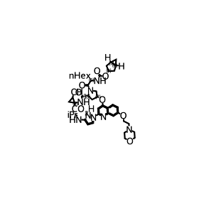 CCCCCC[C@H](NC(=O)O[C@@H]1C[C@@H]2C[C@@H]2C1)C(=O)N1C[C@H](Oc2cc(-n3ccc(NC(C)C)n3)nc3cc(OCCN4CCOCC4)ccc23)C[C@H]1C(=O)N[C@]1(C(=O)O)CC1C